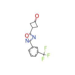 O=C1CC(c2nc(-c3cccc(C(F)(F)F)c3)no2)C1